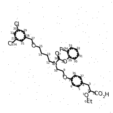 CCOC(Cc1ccc(OCCN(CCCCOCc2cc(Cl)cc(Cl)c2)C(=O)Oc2ccccc2F)cc1)C(=O)O